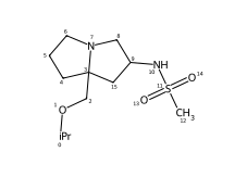 CC(C)OCC12CCCN1CC(NS(C)(=O)=O)C2